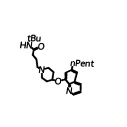 CCCCCc1cc(OC2CCN(CCCC(=O)NC(C)(C)C)CC2)c2ncccc2c1